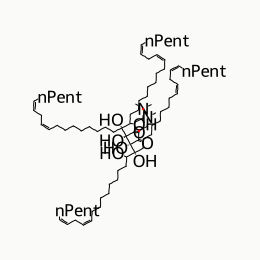 CCCCC/C=C\C/C=C\CCCCCCCCC(O)[C@](O)(CCCCCCCC/C=C\C/C=C\CCCCC)[C@](O)(C(=O)CCN(C)C)[C@@](O)(C(=O)CCN(C)C)[C@@](O)(CCCCCCCC/C=C\C/C=C\CCCCC)C(O)CCCCCCCC/C=C\C/C=C\CCCCC